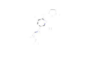 CCN(C)/C=N/c1cc(Br)c(O[C@@H]2CC[C@H](C)C2)nc1C